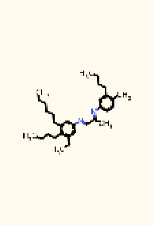 CCCCCCc1cc(N=CC(C)=Nc2ccc(C)c(CCCC)c2)cc(CC)c1CCCC